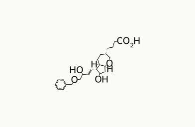 O=C(O)CCC[C@H]1CC[C@@H]2[C@@H](/C=C/C(O)COCc3ccccc3)[C@H](O)C[C@@H]2OC1